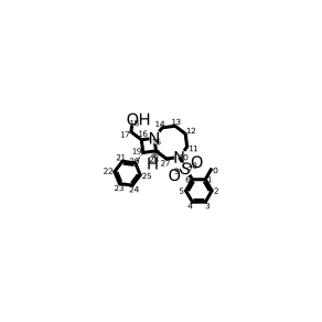 Cc1ccccc1S(=O)(=O)N1CCCCN2C(CO)[C@@H](c3ccccc3)[C@@H]2C1